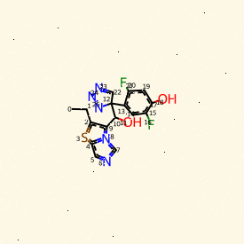 CCc1sc2cncn2c1C(O)C1(c2cc(F)c(O)cc2F)C=NN=N1